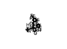 O=C1Cn2c(-c3ncc[nH]3)nc(NC(=O)c3cc(F)cc(C(F)(F)F)c3)c2[C@@H](c2cc(F)ccc2Cl)N1